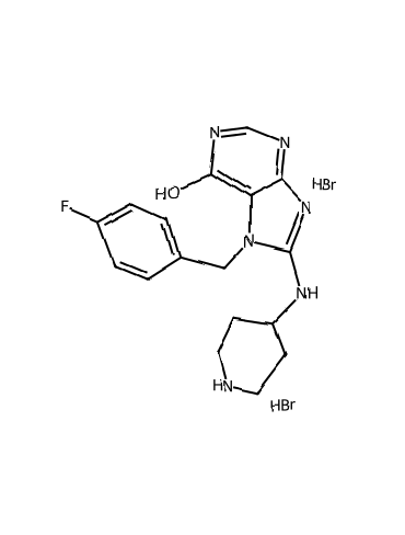 Br.Br.Oc1ncnc2nc(NC3CCNCC3)n(Cc3ccc(F)cc3)c12